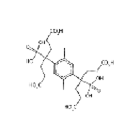 Cc1cc(C(CCC(=O)O)(CCC(=O)O)P(=O)(O)O)c(C)cc1C(CCC(=O)O)(CCC(=O)O)P(=O)(O)O